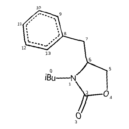 CCC(C)N1C(=O)OCC1Cc1ccccc1